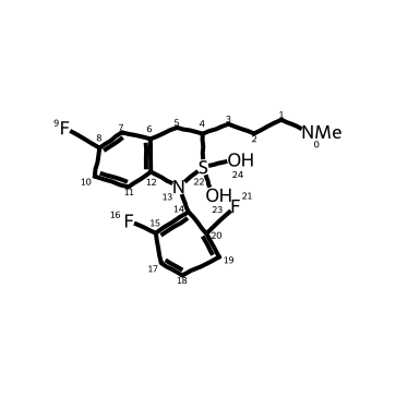 CNCCCC1Cc2cc(F)ccc2N(c2c(F)cccc2F)S1(O)O